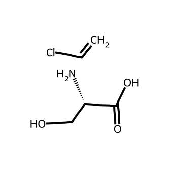 C=CCl.N[C@@H](CO)C(=O)O